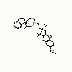 CC(C)C1(CCN2CC[C@@]3(C=Cc4ccccc43)C(C)C2)CC2Oc3ccc(C(F)(F)F)cc3CN2C1=O